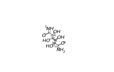 CNC(=O)[C@H](O)[C@@H](O)[C@@H](O)[C@H](O)C(N)=O